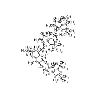 C=C(C(=O)OO)C(C)c1cc(C(C)(C)C)cc(C(C)(C)C)c1.C=C(Cc1cc(C(C)(C)C)cc(C(C)(C)C)c1)C(=O)OO.C=C(Cc1cc(C(C)(C)C)cc(C(C)(C)C)c1)C(=O)OO.C=C(Cc1cc(C(C)(C)C)cc(C(C)(C)C)c1)C(=O)OO